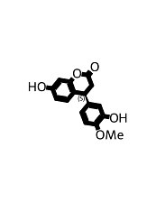 COc1ccc([C@@H]2CC(=O)Oc3cc(O)ccc32)cc1O